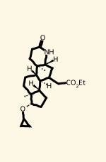 CCOC(=O)CC1C[C@H]2NC(=O)CC[C@]2(C)[C@H]2CC[C@]3(C)[C@@H](OC4CC4)CC[C@H]3[C@H]12